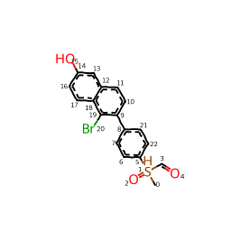 C[SH](=O)(C=O)c1ccc(-c2ccc3cc(O)ccc3c2Br)cc1